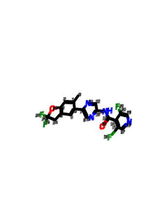 Cc1cc2c(cc1-c1cnc(NC(=O)c3c(F)cncc3F)cn1)CC(F)(F)O2